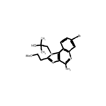 COCCc1nc2c(N)nc3cc(Br)ccc3c2n1CC(C)(C)O